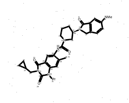 CNc1ccc2c(c1)C(=O)N([C@@H]1CCCN(C(=O)Nc3cc4c(=O)n(CC5CC5)c(=O)n(C(C)C)c4cc3F)C1)C2